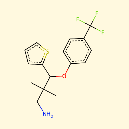 CC(C)(CN)C(Oc1ccc(C(F)(F)F)cc1)c1cccs1